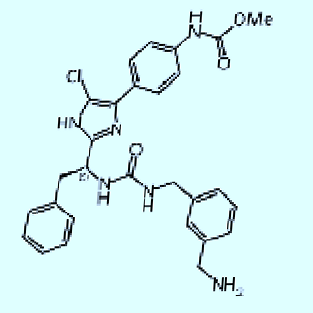 COC(=O)Nc1ccc(-c2nc([C@H](Cc3ccccc3)NC(=O)NCc3cccc(CN)c3)[nH]c2Cl)cc1